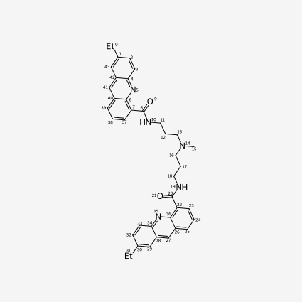 CCc1ccc2nc3c(C(=O)NCCCN(C)CCCNC(=O)c4cccc5cc6cc(CC)ccc6nc45)cccc3cc2c1